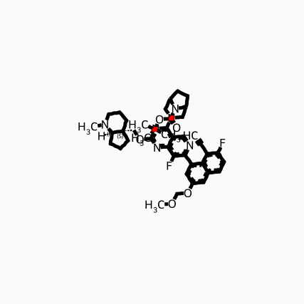 C#Cc1c(F)ccc2cc(OCOC)cc(-c3ncc4c(N5CC6CCC(C5)N6C(=O)OC(C)(C)C)nc(OC[C@]56CCC[C@H]5N(C)CCC6)nc4c3F)c12